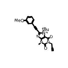 C#CCn1c(=O)c2c(n(C)c1=O)N=C(C#Cc1cccc(OC)c1)[N+]2(C)C(C)(C)C